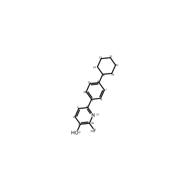 Oc1ccc(-c2ccc(C3CCCCC3)cc2)nc1F